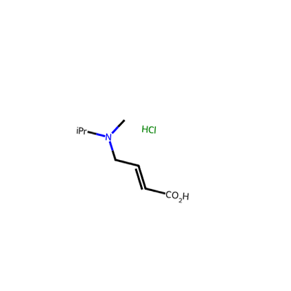 CC(C)N(C)C/C=C/C(=O)O.Cl